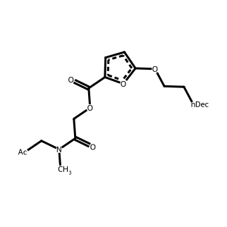 CCCCCCCCCCCCOc1ccc(C(=O)OCC(=O)N(C)CC(C)=O)o1